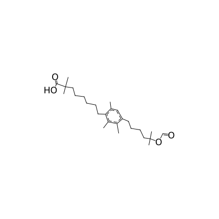 Cc1cc(CCCCC(C)(C)OC=O)c(C)c(C)c1CCCCCCC(C)(C)C(=O)O